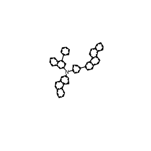 c1ccc(-c2cc(N(c3ccc(-c4ccc5ccc6c7ccccc7ccc6c5c4)cc3)c3ccc4c(ccc5ccccc54)c3)cc3ccccc23)cc1